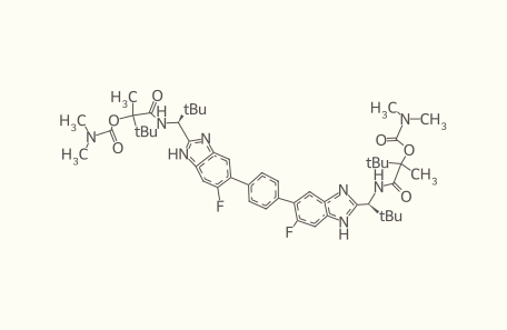 CN(C)C(=O)OC(C)(C(=O)N[C@H](c1nc2cc(-c3ccc(-c4cc5nc([C@@H](NC(=O)C(C)(OC(=O)N(C)C)C(C)(C)C)C(C)(C)C)[nH]c5cc4F)cc3)c(F)cc2[nH]1)C(C)(C)C)C(C)(C)C